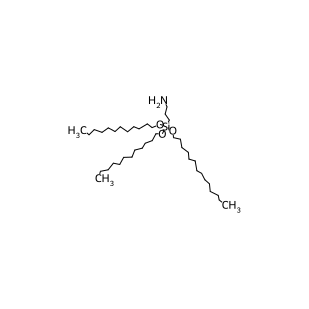 CCCCCCCCCCCCCCO[Si](CCCN)(OCCCCCCCCCCCC)OCCCCCCCCCCCC